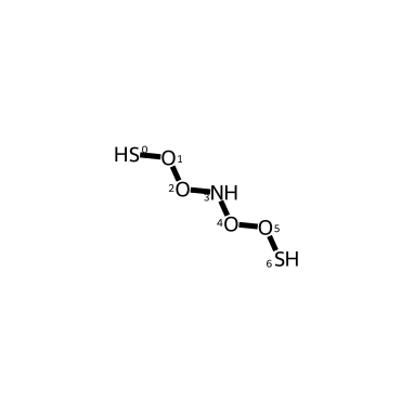 SOONOOS